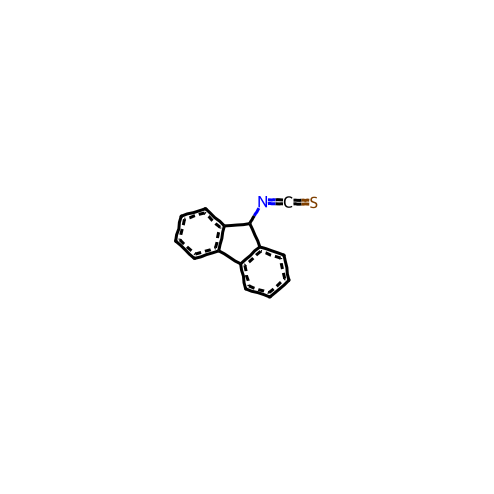 S=C=NC1c2ccccc2-c2ccccc21